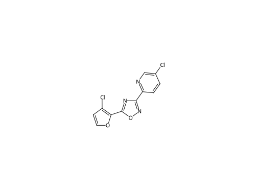 Clc1ccc(-c2noc(-c3occc3Cl)n2)nc1